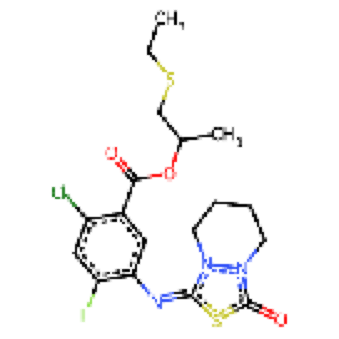 CCSCC(C)OC(=O)c1cc(/N=c2/sc(=O)n3n2CCCC3)c(F)cc1Cl